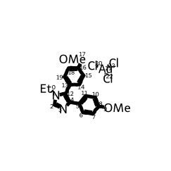 CCn1cnc(-c2ccc(OC)cc2)c1-c1ccc(OC)cc1.[Cl][Au]([Cl])[Cl]